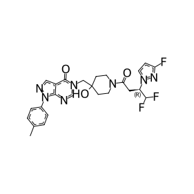 Cc1ccc(-n2ncc3c(=O)n(CC4(O)CCN(C(=O)C[C@H](C(F)F)n5ccc(F)n5)CC4)cnc32)cc1